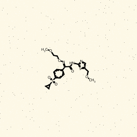 COCCO/N=C(/C(=O)Nc1ncc(COC)s1)c1ccc(S(=O)(=O)C2CC2)cc1